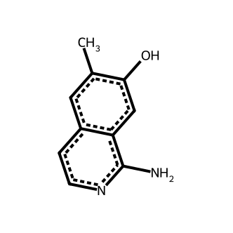 Cc1cc2ccnc(N)c2cc1O